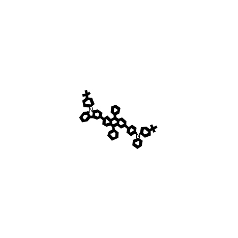 CC(C)(C)c1ccc(N(c2ccccc2)c2ccc(-c3ccc4c(-c5ccccc5)c5cc(-c6ccc7c(c6)c6ccccc6n7-c6ccc(C(C)(C)C)cc6)ccc5c(-c5ccccc5)c4c3)cc2)cc1